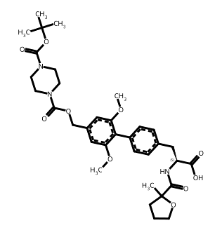 COc1cc(COC(=O)N2CCN(C(=O)OC(C)(C)C)CC2)cc(OC)c1-c1ccc(C[C@H](NC(=O)C2(C)CCCO2)C(=O)O)cc1